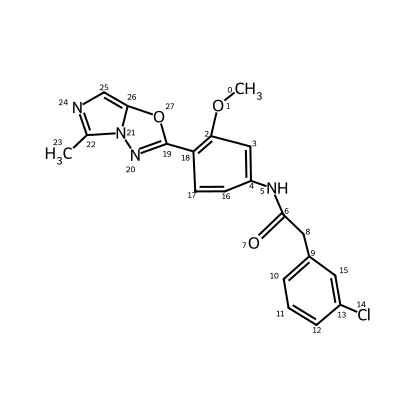 COc1cc(NC(=O)Cc2cccc(Cl)c2)ccc1-c1nn2c(C)ncc2o1